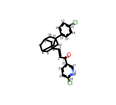 O=C(C=CC12CC3CC(C1)CC(c1ccc(Cl)cc1)(C3)C2)c1ccc(Cl)nc1